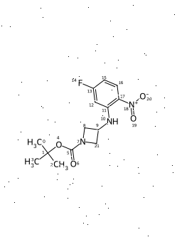 CC(C)(C)OC(=O)N1CC(Nc2cc(F)ccc2[N+](=O)[O-])C1